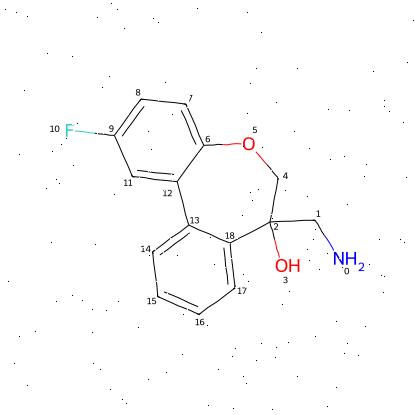 NCC1(O)COc2ccc(F)cc2-c2ccccc21